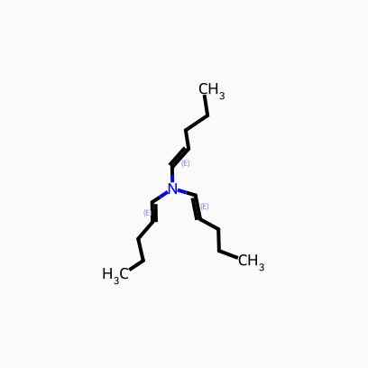 CCC/C=C/N(/C=C/CCC)/C=C/CCC